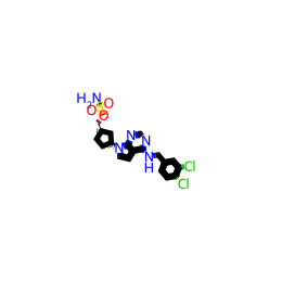 NS(=O)(=O)OC[C@H]1CC[C@H](n2ccc3c(NCc4ccc(Cl)c(Cl)c4)ncnc32)C1